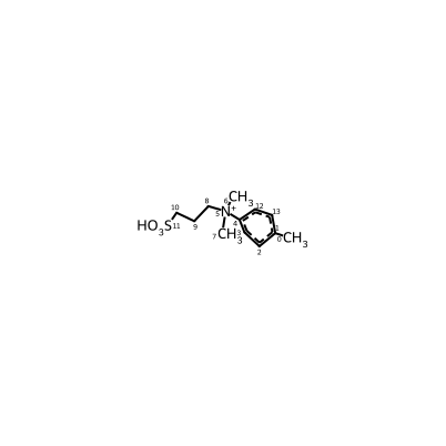 Cc1ccc([N+](C)(C)CCCS(=O)(=O)O)cc1